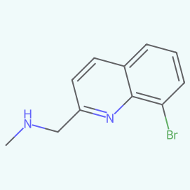 CNCc1ccc2cccc(Br)c2n1